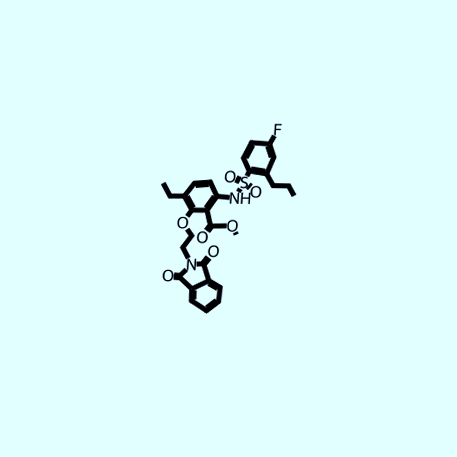 CCCc1cc(F)ccc1S(=O)(=O)Nc1ccc(CC)c(OCCN2C(=O)c3ccccc3C2=O)c1C(=O)OC